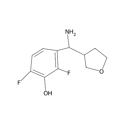 NC(c1ccc(F)c(O)c1F)C1CCOC1